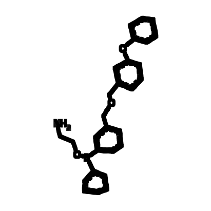 NCCOB(c1ccccc1)c1cccc(COCc2cccc(Oc3ccccc3)c2)c1